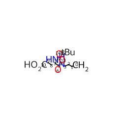 C=CCCNC(=O)[C@H](CCC(=O)O)NC(=O)OC(C)(C)C